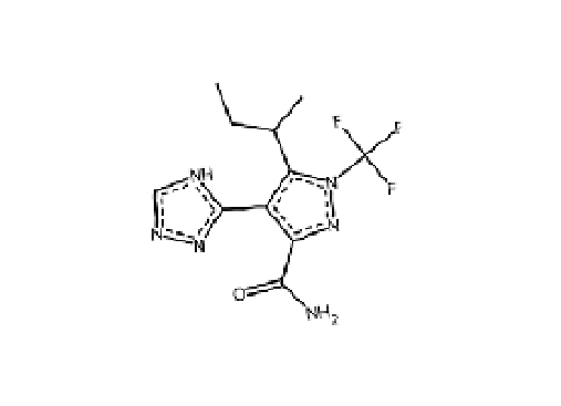 CCC(C)c1c(-c2nnc[nH]2)c(C(N)=O)nn1C(F)(F)F